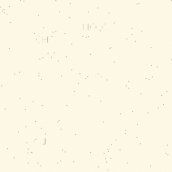 Cc1ccc(C)c(COc2ccccc2C(=O)O)c1